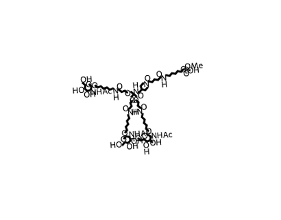 COP(=O)(O)OCCCCCCNC(=O)CCCC(=O)N1CCC(C(=O)NC(COCCC(=O)NCCCCCCOC2OC(CO)C(O)C(O)C2NC(C)=O)(COCCC(=O)NCCCCCCOC2OC(CO)C(O)C(O)C2NC(C)=O)COCCC(=O)NCCCCCCOC2OC(CO)C(O)C(O)C2NC(C)=O)CC1